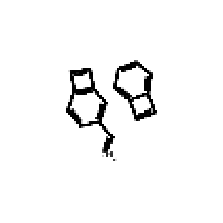 C1=Cc2ccccc21.C=Cc1ccc2c(c1)C=C2